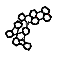 c1ccc(-c2ccc(-c3ccccc3N(c3ccc(-c4ccccc4)cc3)c3ccc4c(c3)C3(c5ccccc5-c5ccccc53)c3cccc5c6ccccc6n-4c35)cc2)cc1